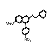 COc1ccc2cc([CH]Cc3ccccc3)cc(-c3ccc([N+](=O)[O-])cc3)c2c1